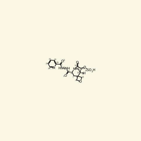 O=C(NNC(=O)[C@@H]1CC2(COC2)[C@@H]2CN1C(=O)N2OS(=O)(=O)O)c1ccccn1